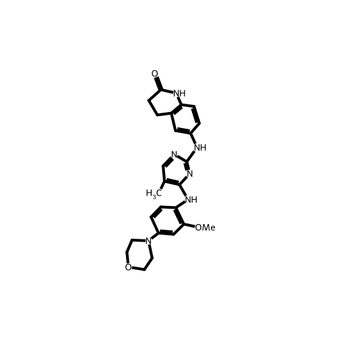 COc1cc(N2CCOCC2)ccc1Nc1nc(Nc2ccc3c(c2)CCC(=O)N3)ncc1C